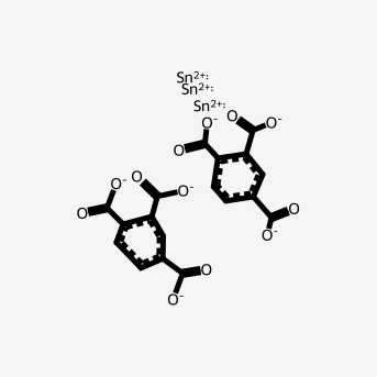 O=C([O-])c1ccc(C(=O)[O-])c(C(=O)[O-])c1.O=C([O-])c1ccc(C(=O)[O-])c(C(=O)[O-])c1.[Sn+2].[Sn+2].[Sn+2]